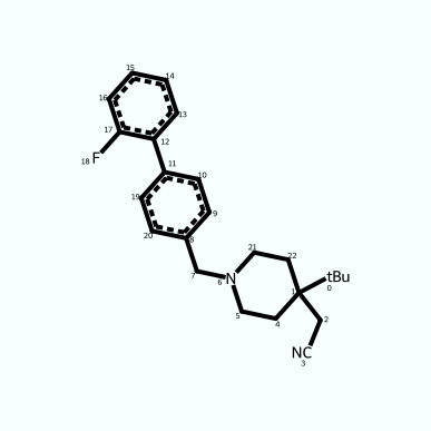 CC(C)(C)C1(CC#N)CCN(Cc2ccc(-c3ccccc3F)cc2)CC1